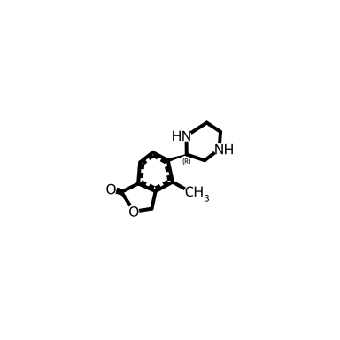 Cc1c([C@@H]2CNCCN2)ccc2c1COC2=O